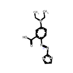 CCN(CC)c1ccc(/N=N/c2nccs2)c(C(=O)O)c1